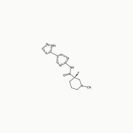 N#CN1CCC[C@](F)(C(=O)Nc2ccc(-c3ccn[nH]3)cn2)C1